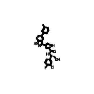 Cc1cccc(-c2cnc3[nH]nc(-c4c[nH]c(C(=O)N[C@H](CO)c5ccc(F)c(Cl)c5)c4)c3c2)c1